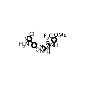 COc1ccc(NC(=O)Nc2cnc(Oc3ccc(-c4cc(Cl)cnc4N)cc3)nc2)cc1C(F)(F)F